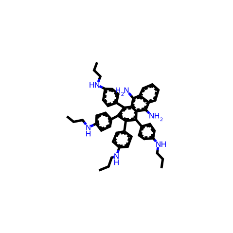 CCCNc1ccc(-c2c(-c3ccc(NCCC)cc3)c(-c3ccc(NCCC)cc3)c3c(N)c4ccccc4c(N)c3c2-c2ccc(NCCC)cc2)cc1